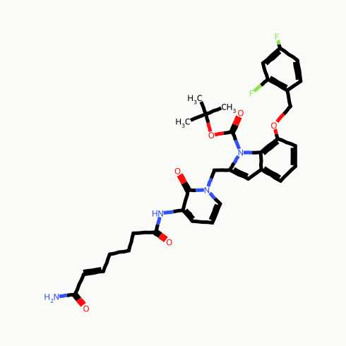 CC(C)(C)OC(=O)n1c(Cn2cccc(NC(=O)CCC/C=C/C(N)=O)c2=O)cc2cccc(OCc3ccc(F)cc3F)c21